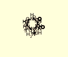 CSCC[C@@H]1NC(=O)[C@H](CC(C)C)NC(=O)CNC(=O)[C@H](Cc2ccccc2)NC(=O)C(Cc2c[nH]c3ccccc23)NC(=O)[C@H](CCC(N)=O)NC1=O